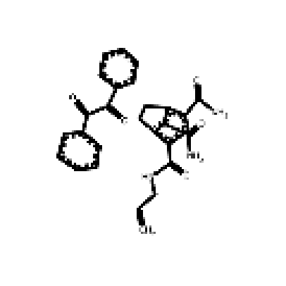 C=CCNC(=O)c1cc(C(N)=O)c2c(C(N)=O)c1CC2.O=C(C(=O)c1ccccc1)c1ccccc1